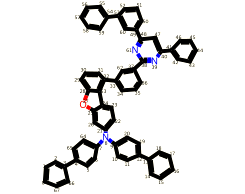 c1ccc(-c2ccc(N(c3ccc(-c4ccccc4)cc3)c3ccc4c(c3)oc3cccc(-c5cccc(-c6nc(-c7ccccc7)cc(-c7cccc(-c8ccccc8)c7)n6)c5)c34)cc2)cc1